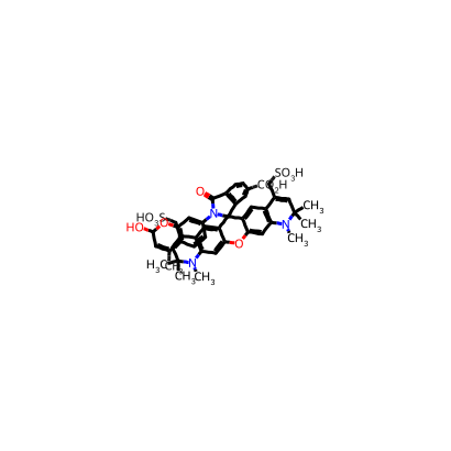 CN1c2cc3c(cc2C(CS(=O)(=O)O)=CC1(C)C)C1(c2cc4c(cc2O3)N(C)C(C)(C)C=C4CS(=O)(=O)O)c2cc(C(=O)O)ccc2C(=O)N1c1ccc2c(c1)OC(O)C=C2C(F)(F)F